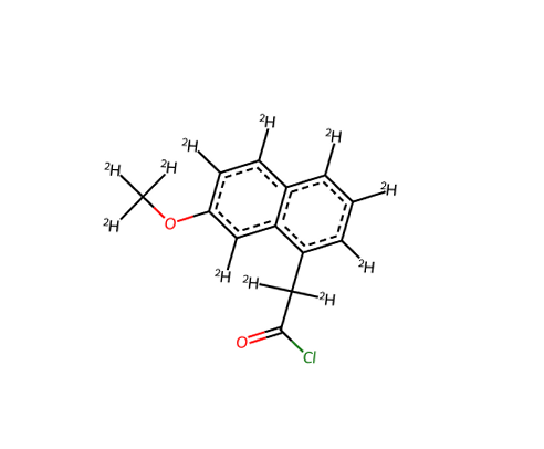 [2H]c1c([2H])c(C([2H])([2H])C(=O)Cl)c2c([2H])c(OC([2H])([2H])[2H])c([2H])c([2H])c2c1[2H]